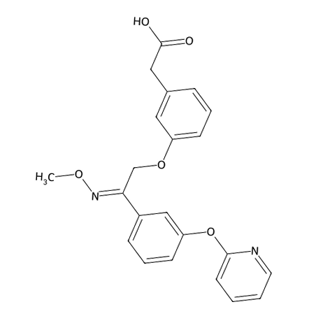 CO/N=C(\COc1cccc(CC(=O)O)c1)c1cccc(Oc2ccccn2)c1